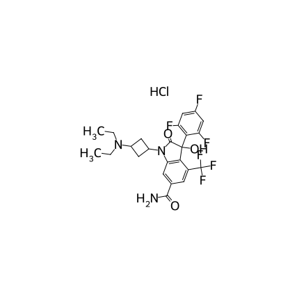 CCN(CC)C1CC(N2C(=O)C(O)(c3c(F)cc(F)cc3F)c3c2cc(C(N)=O)cc3C(F)(F)F)C1.Cl